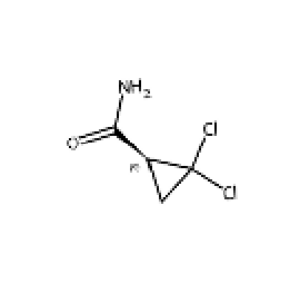 NC(=O)[C@@H]1CC1(Cl)Cl